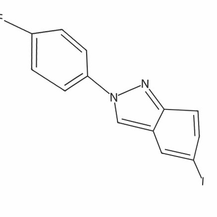 Fc1ccc(-n2cc3cc(I)ccc3n2)cc1